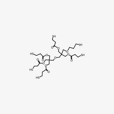 O=C(CCS)OCC(COCCCS)(COCC(COC(=O)CCS)(COC(=O)CCS)COC(=O)CCS)COC(=O)CCS